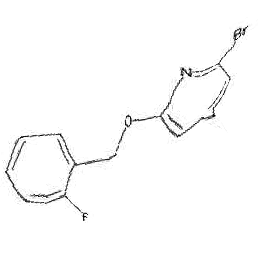 Fc1ccccc1COc1cccc(Br)n1